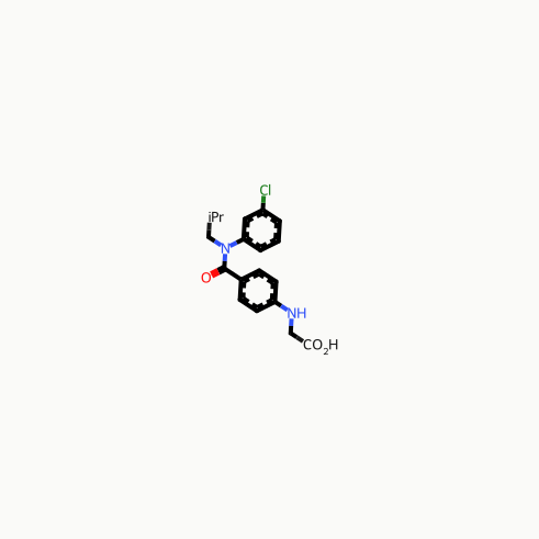 CC(C)CN(C(=O)c1ccc(NCC(=O)O)cc1)c1cccc(Cl)c1